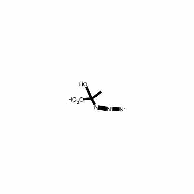 CC(O)(N=[N+]=[N-])C(=O)O